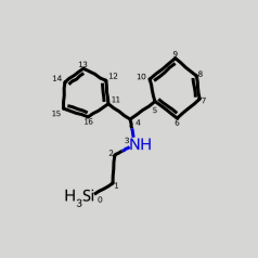 [SiH3]CCNC(c1ccccc1)c1ccccc1